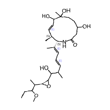 CCC(OC)C(C)C1OC1C(O)C(C)/C=C/C=C(\C)[C@H]1NC(=O)CC(O)CCC(C)(O)C(O)/C=C/[C@@H]1C